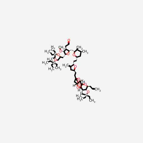 C=CC[C@@H]1O[C@@H]2[C@H]3O[C@@H]4CC(CC[C@H]5CC(=C)[C@H](CC[C@H]6C[C@@H](C)C(=C)[C@@H](C[C@@H]7O[C@H](CC(CO[Si](CC)(CC)CC)O[Si](CC)(CC)CC)[C@H](OC)[C@H]7CC=O)O6)O5)(O[C@H]3[C@H]1O[Si](CC)(CC)CC)O[C@H]24